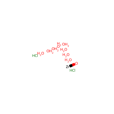 Cl.Cl.O.O.O.O.O.O.O.O.[O]=[Zr]